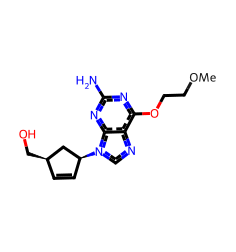 COCCOc1nc(N)nc2c1ncn2[C@H]1C=C[C@@H](CO)C1